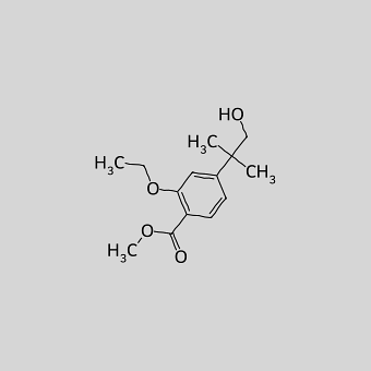 CCOc1cc(C(C)(C)CO)ccc1C(=O)OC